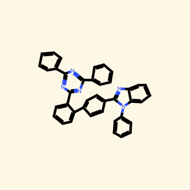 c1ccc(-c2nc(-c3ccccc3)nc(-c3ccccc3-c3ccc(-c4nc5ccccc5n4-c4ccccc4)cc3)n2)cc1